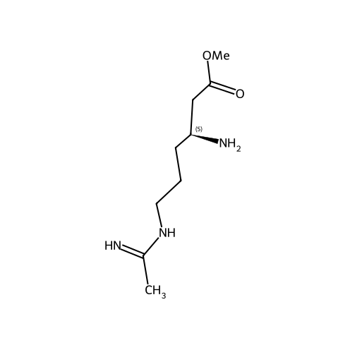 COC(=O)C[C@@H](N)CCCNC(C)=N